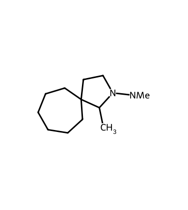 CNN1CCC2(CCCCCC2)C1C